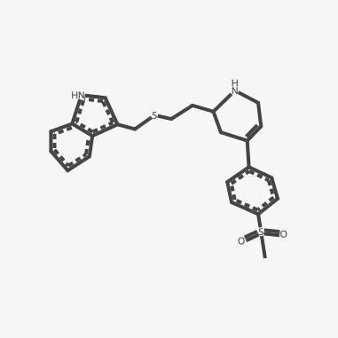 CS(=O)(=O)c1ccc(C2=CCNC(CCSCc3c[nH]c4ccccc34)C2)cc1